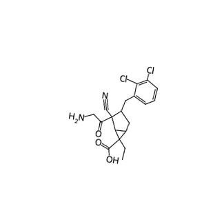 CCC1(C(=O)O)C2CC(Cc3cccc(Cl)c3Cl)C(C#N)(C(=O)CN)C21